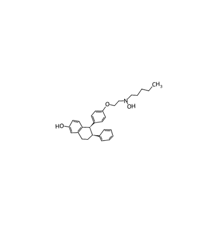 CCCCCN(O)CCOc1ccc([C@@H]2c3ccc(O)cc3CC[C@@H]2c2ccccc2)cc1